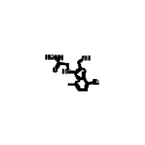 CCc1ccc(C)n2c(NCC(=O)NO)c(CO)nc12